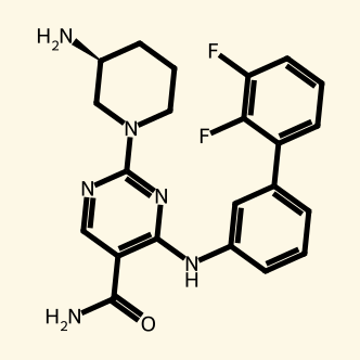 NC(=O)c1cnc(N2CCC[C@H](N)C2)nc1Nc1cccc(-c2cccc(F)c2F)c1